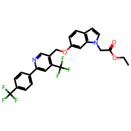 CCOC(=O)Cn1ccc2ccc(OCc3cnc(-c4ccc(C(F)(F)F)cc4)cc3C(F)(F)F)cc21